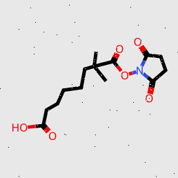 CC(C)(CCCCCC(=O)O)C(=O)ON1C(=O)CCC1=O